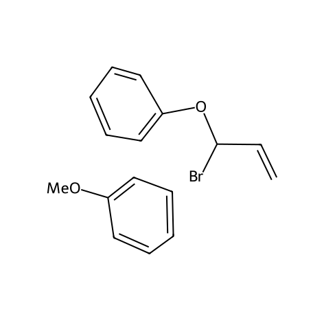 C=CC(Br)Oc1ccccc1.COc1ccccc1